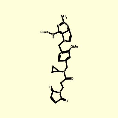 CCCCCNc1nc(N)nc2ccn(Cc3ccc(CN(C(=O)CCN4C(=O)C=CC4=O)C4CC4)cc3OC)c12